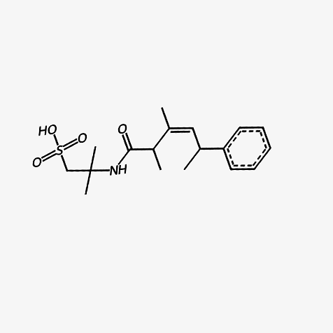 CC(=CC(C)c1ccccc1)C(C)C(=O)NC(C)(C)CS(=O)(=O)O